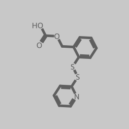 O=C(O)OCc1ccccc1SSc1ccccn1